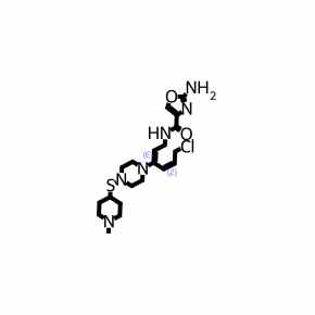 CN1CCC(SN2CCN(C(/C=C\CCl)=C/CNC(=O)c3coc(N)n3)CC2)CC1